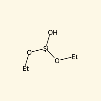 CCO[Si](O)OCC